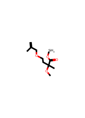 C=C(C)COCCC(C)(OC)C(=O)O[SiH3]